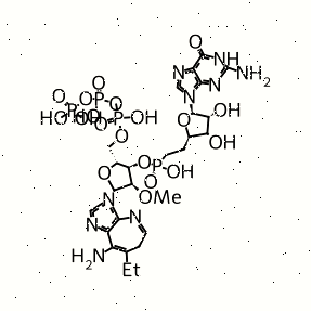 CCC1=C(N)c2ncn([C@@H]3O[C@H](COP(=O)(O)OP(=O)(O)OP(=O)(O)O)[C@@H](OP(=O)(O)CC[C@H]4O[C@@H](n5cnc6c(=O)[nH]c(N)nc65)[C@H](O)[C@@H]4O)[C@H]3OC)c2N=CC1